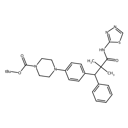 CC(C)(C)OC(=O)N1CCN(c2ccc(C(c3ccccc3)C(C)(C)C(=O)Nc3nncs3)cc2)CC1